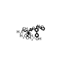 CN(C)CCN(C(=O)OC(C)(C)C)C1CC(Oc2cc(-c3ccc(O)cc3)cc3c2cnn3C2CCCCO2)C1